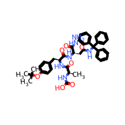 C[C@H](NC(=O)O)C(=O)N[C@@H](Cc1ccc(OC(C)(C)C)cc1)C(=O)N[C@@H](CC(=O)NC(c1ccccc1)(c1ccccc1)c1ccccc1)C(=O)NN